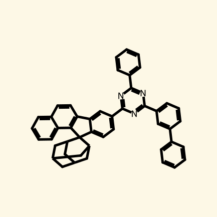 c1ccc(-c2cccc(-c3nc(-c4ccccc4)nc(-c4ccc5c(c4)-c4ccc6ccccc6c4C54C5CC6CC(C5)CC4C6)n3)c2)cc1